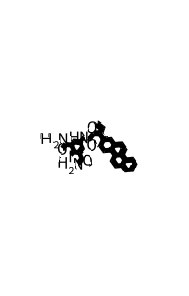 NC(=O)c1cc(NC(=O)c2occc2C2CCc3c(ccc4c3ccc3ccccc34)C2)cc(C(N)=O)c1I